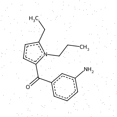 CCCn1c(CC)ccc1C(=O)c1cccc(N)c1